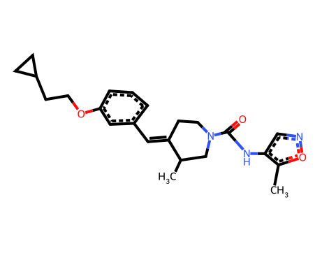 Cc1oncc1NC(=O)N1CCC(=Cc2cccc(OCCC3CC3)c2)C(C)C1